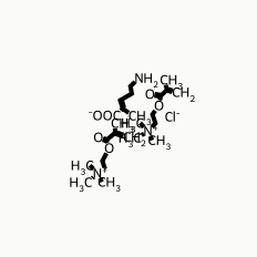 C=C(C)C(=O)OCC[N+](C)(C)C.C=C(C)C(=O)OCC[N+](C)(C)C.CC(=CCCN)C(=O)[O-].[Cl-]